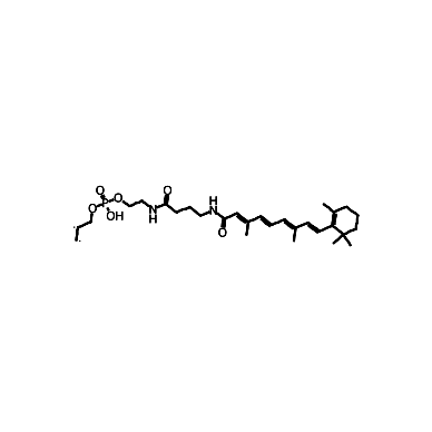 [CH2][CH]COP(=O)(O)OCCNC(=O)CCCNC(=O)/C=C(C)/C=C/C=C(C)/C=C/C1=C(C)CCCC1(C)C